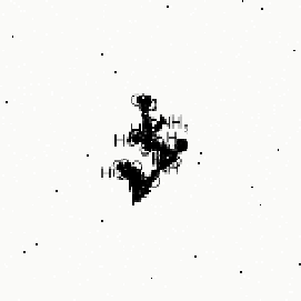 CC[C@@]1(O)C(=O)OCc2c1cc1n(c2=O)Cc2c-1nc1cc(F)c(C)c3c1c2[C@@H](NC(=O)CCCNC(=O)CNC(=O)[C@H](Cc1ccccc1)NC(=O)CNC(=O)CNC(=O)[C@H](CC(=O)O)NC(=O)[C@H](CCCCN)NC(=O)CCCCCN1C(=O)C=CC1=O)CC3